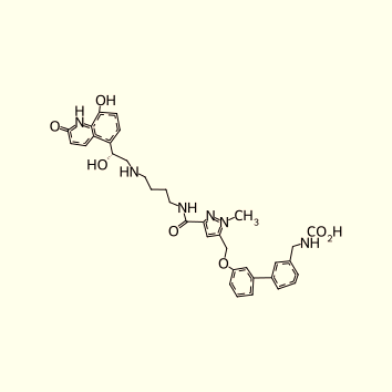 Cn1nc(C(=O)NCCCCNC[C@H](O)c2ccc(O)c3[nH]c(=O)ccc23)cc1COc1cccc(-c2cccc(CNC(=O)O)c2)c1